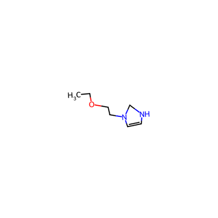 CCOCCN1C=CNC1